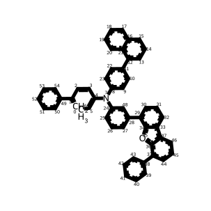 C=C(/C=C\C(=C/C)N(c1ccc(-c2cccc3ccccc23)cc1)c1cccc(-c2cccc3c2oc2c(-c4ccccc4)cccc23)c1)c1ccccc1